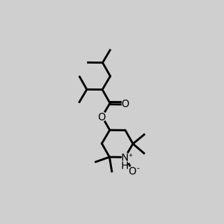 CC(C)CC(C(=O)OC1CC(C)(C)[NH+]([O-])C(C)(C)C1)C(C)C